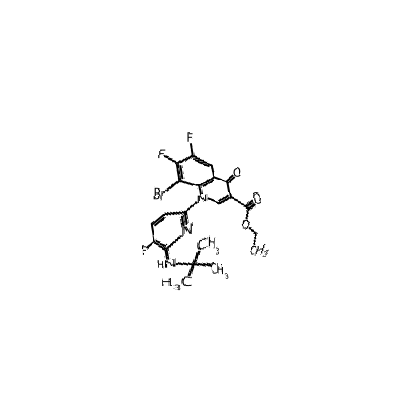 CCOC(=O)c1cn(-c2ccc(F)c(NC(C)(C)C)n2)c2c(Br)c(F)c(F)cc2c1=O